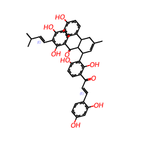 CC1=CC(c2c(O)ccc(C(=O)/C=C/c3ccc(O)cc3O)c2O)C(C(=O)c2ccc(O)c(/C=C/C(C)C)c2O)C(c2ccc(O)cc2)C1